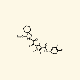 COCC1(CNC(=O)C(=O)c2c(C)c(C(=O)Nc3ccc(F)c(C)c3)c(C)n2C)CCCCC1